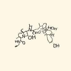 C#CCNC(=O)C1=C(C)CSC2C(NC(=O)CC[C@@H](C)[C@H]3CC[C@H]4[C@H]5C(C[C@H](O)[C@]34C)[C@@]3(C)CC[C@@H](O)C[C@H]3C[C@H]5O)C(O)N12